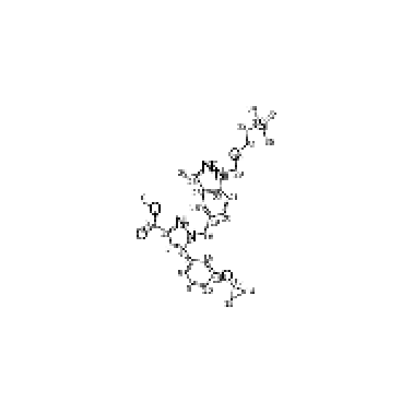 COC(=O)c1cc(-c2cccc(OC3CC3)c2)n(Cc2ccc3c(c2)c(C)nn3COCC[Si](C)(C)C)n1